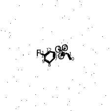 C=CS(=O)(=O)Oc1cccc(F)c1